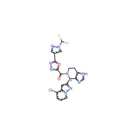 O=C(c1nnc(-c2cnn(C(F)F)c2)o1)N1CCc2[nH]cnc2[C@H]1c1cc2c(Cl)cccn2n1